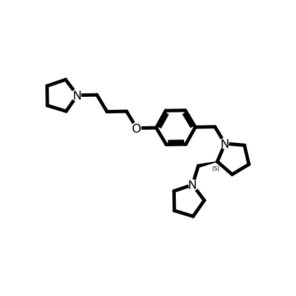 c1cc(OCCCN2CCCC2)ccc1CN1CCC[C@H]1CN1CCCC1